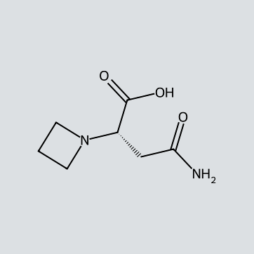 NC(=O)C[C@@H](C(=O)O)N1CCC1